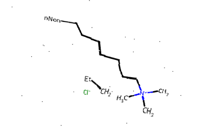 CCCCCCCCCCCCCCCC[N+](C)(C)C.[CH2]CC.[Cl-]